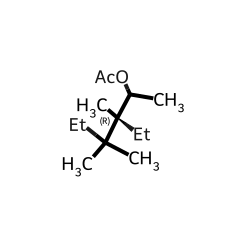 CCC(C)(C)[C@@](C)(CC)C(C)OC(C)=O